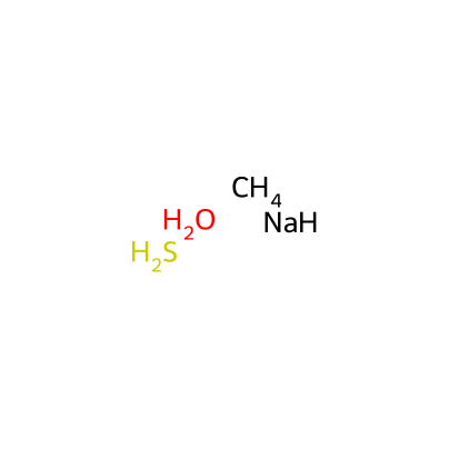 C.O.S.[NaH]